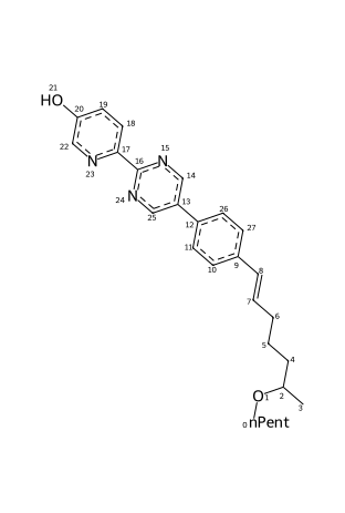 CCCCCOC(C)CCCC=Cc1ccc(-c2cnc(-c3ccc(O)cn3)nc2)cc1